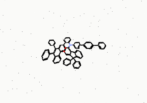 c1ccc(-c2ccc(-c3ccc(N(c4ccccc4-c4ccc5c(c4)c(-c4ccccc4)c(-c4ccccc4)c4ccccc45)c4cccc5c4-c4ccccc4C5(c4ccccc4)c4ccccc4)cc3)cc2)cc1